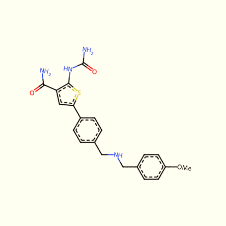 COc1ccc(CNCc2ccc(-c3cc(C(N)=O)c(NC(N)=O)s3)cc2)cc1